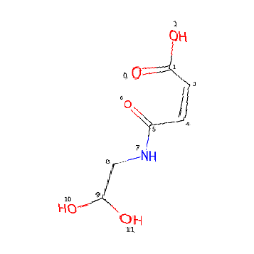 O=C(O)/C=C\C(=O)NCC(O)O